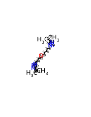 CC(C)c1cn(CCCCCOCCCCn2cc(C(C)C)nn2)nn1